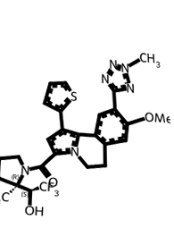 COc1cc2c(cc1-c1nnn(C)n1)-c1c(-c3cccs3)cc(C(=O)N3CCC[C@]3(C)[C@H](O)C(F)(F)F)n1CC2